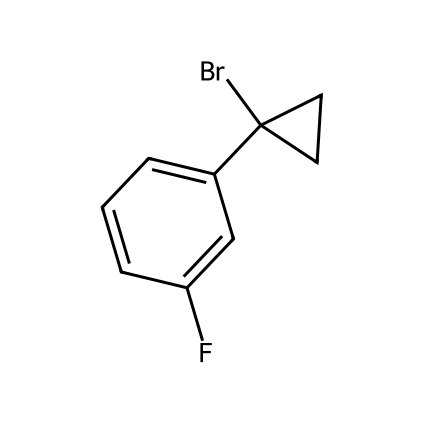 Fc1cccc(C2(Br)CC2)c1